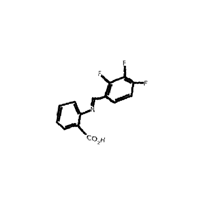 O=C(O)c1ccccc1N=Cc1ccc(F)c(F)c1F